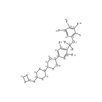 Cc1c(OC(F)(F)c2c(F)cc(C3OCC(C4CCC(CC5CCC5)CC4)CO3)cc2F)cc(F)c(F)c1F